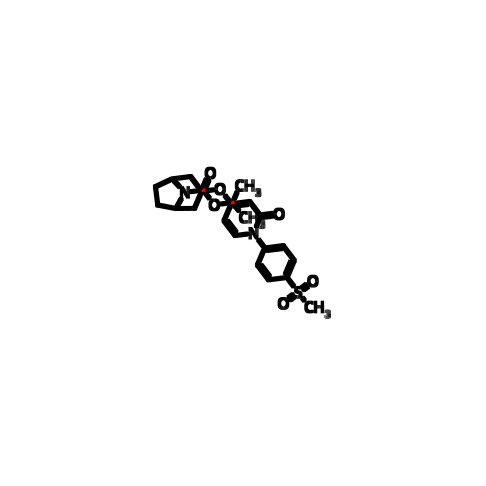 CC(C)OC(=O)N1C2CCC1CC(Oc1ccn(-c3ccc(S(C)(=O)=O)cc3)c(=O)c1)C2